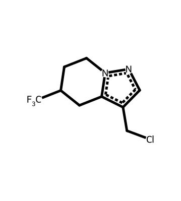 FC(F)(F)C1CCn2ncc(CCl)c2C1